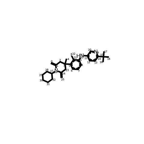 C=C1CC(C)(c2cccc(Nc3ccc(C(C)(C)C)nc3)c2I)CC(=C)N1C1CCCCC1